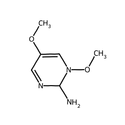 COC1=CN(OC)C(N)N=C1